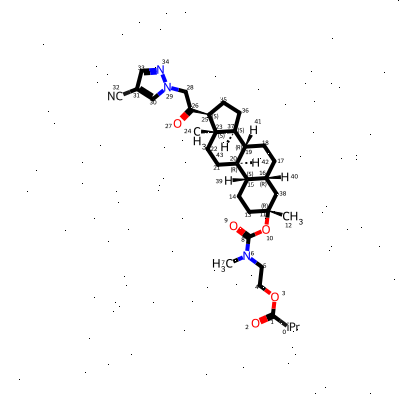 CC(C)C(=O)OCCN(C)C(=O)O[C@]1(C)CC[C@H]2[C@H](CC[C@@H]3[C@@H]2CC[C@]2(C)[C@@H](C(=O)Cn4cc(C#N)cn4)CC[C@@H]32)C1